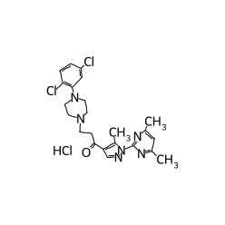 Cc1cc(C)nc(-n2ncc(C(=O)CCN3CCN(c4cc(Cl)ccc4Cl)CC3)c2C)n1.Cl